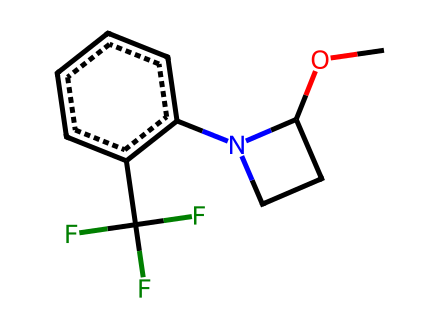 COC1CCN1c1ccccc1C(F)(F)F